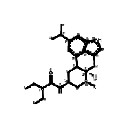 CCN(CC)C(=O)N[C@H]1CC2c3cc(C(C)C)cc4[nH]cc(c34)C[C@H]2N(C)C1